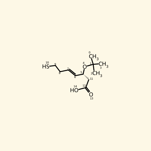 CC(C)(C)O[C@@H](/C=C/CCS)CC(=O)O